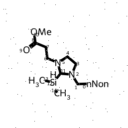 CCCCCCCCCCN1CCN(CCC(=O)OC)C1[SiH](C)C